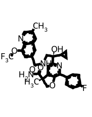 Cc1cnc2c(OC(F)(F)F)cc(C(=O)NC[C@](O)(c3cc4c(c(-c5ccc(F)cc5)n3)OC[C@]4(C)C(N)=O)C3CC3)cc2c1